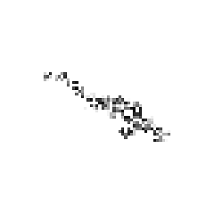 COCCOCCOc1ccc(N2CCN(C(=O)C(COC)n3ncc4c3nc(N)n3nc(-c5ccco5)nc43)CC2)cc1